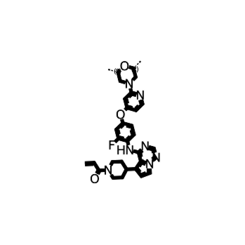 C=CC(=O)N1CCC(c2ccn3ncnc(Nc4ccc(Oc5ccnc(N6C[C@@H](C)O[C@@H](C)C6)c5)cc4F)c23)CC1